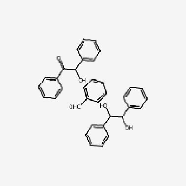 O=C(c1ccccc1)C(O)c1ccccc1.O=Cc1ccccc1.OC(c1ccccc1)C(O)c1ccccc1